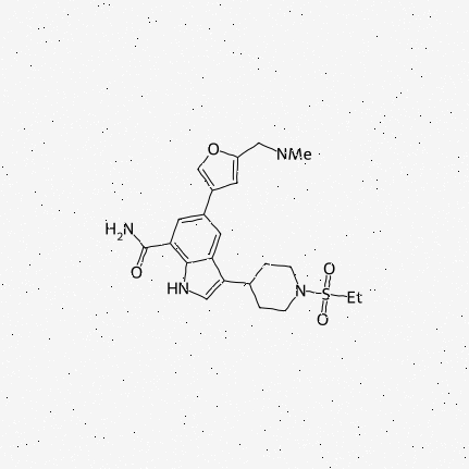 CCS(=O)(=O)N1CCC(c2c[nH]c3c(C(N)=O)cc(-c4coc(CNC)c4)cc23)CC1